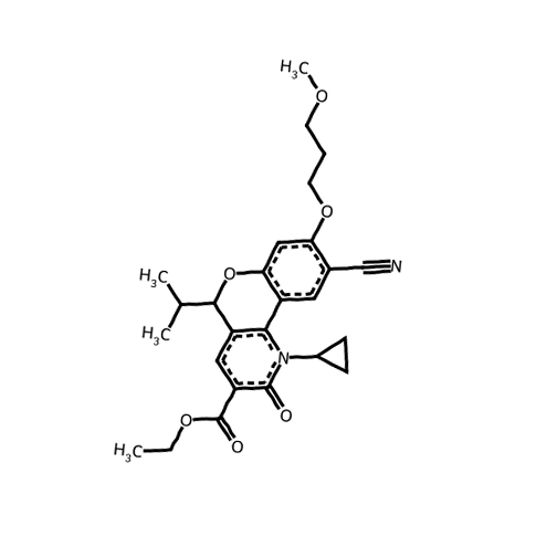 CCOC(=O)c1cc2c(n(C3CC3)c1=O)-c1cc(C#N)c(OCCCOC)cc1OC2C(C)C